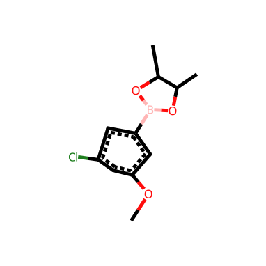 COc1cc(Cl)cc(B2OC(C)C(C)O2)c1